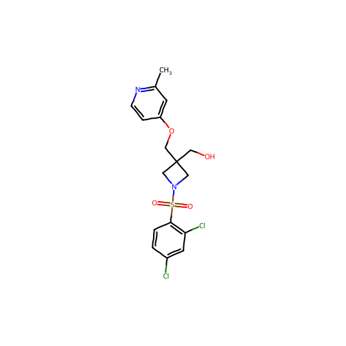 Cc1cc(OCC2(CO)CN(S(=O)(=O)c3ccc(Cl)cc3Cl)C2)ccn1